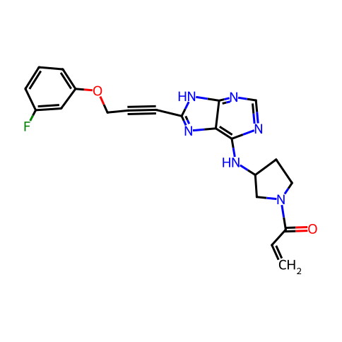 C=CC(=O)N1CCC(Nc2ncnc3[nH]c(C#CCOc4cccc(F)c4)nc23)C1